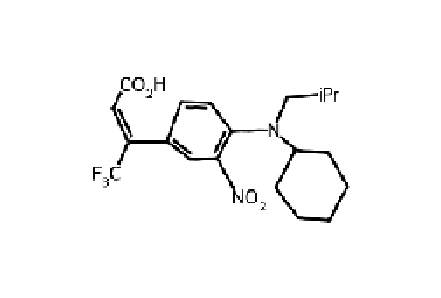 CC(C)CN(c1ccc(/C(=C\C(=O)O)C(F)(F)F)cc1[N+](=O)[O-])C1CCCCC1